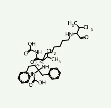 CC(C)C(C=O)NCCCCCCCC[C@@H](Cc1ccccc1)C(Cc1ccccc1)(NC(=O)O)N[C@H](C(=O)NC(=O)O)C(C)C